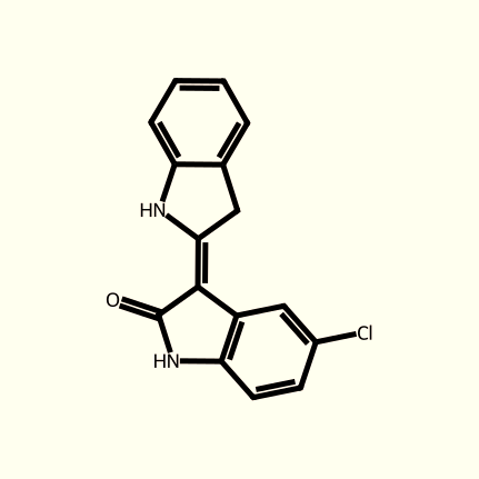 O=C1Nc2ccc(Cl)cc2C1=C1Cc2ccccc2N1